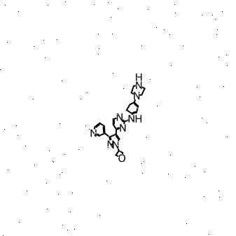 C1=C(Nc2nccc(-c3cn(C4COC4)nc3-c3cccnc3)n2)CCC(N2CCNCC2)=C1